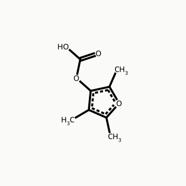 Cc1oc(C)c(OC(=O)O)c1C